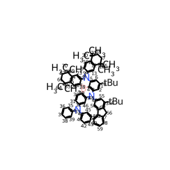 CC(C)(C)c1cc2c3c(c1)N(c1ccc4c(c1)C(C)(C)CCC4(C)C)c1cc4c(cc1B3c1ccc(N(c3ccccc3)c3ccccc3)cc1N2c1cc2c(c(C(C)(C)C)c1)Cc1ccccc1-2)C(C)(C)CCC4(C)C